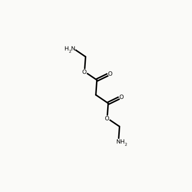 NCOC(=O)CC(=O)OCN